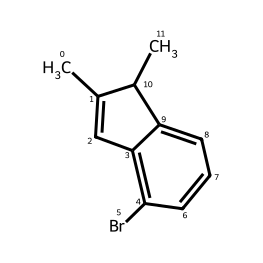 CC1=Cc2c(Br)cccc2C1C